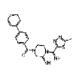 Cc1nnc(C(=N)N2CCN(C(=O)c3ccc(-c4ccccc4)cc3)CC2=N)s1